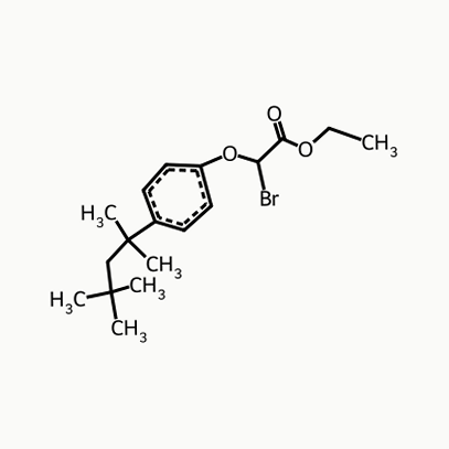 CCOC(=O)C(Br)Oc1ccc(C(C)(C)CC(C)(C)C)cc1